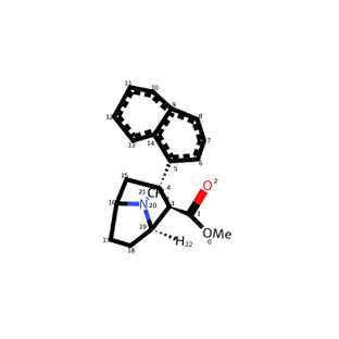 COC(=O)[C@@H]1[C@@H](c2cccc3ccccc23)CC2CC[C@H]1N2C